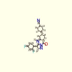 Cc1nn2c(=O)c3ccc(-c4ccc(C#N)cc4)cc3n(C)c2c1-c1ccc(F)cc1F